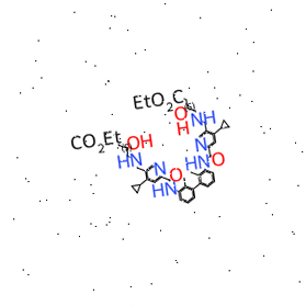 CCOC(=O)C[C@H](O)CNCc1cnc(C(=O)Nc2cccc(-c3cccc(NC(=O)c4cc(C5CC5)c(CNC[C@@H](O)CC(=O)OCC)cn4)c3C)c2C)cc1C1CC1